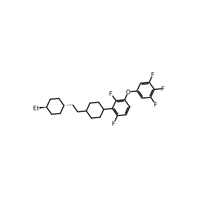 CC[C@H]1CC[C@H](CCC2CCC(c3c(F)c[c]c(Oc4cc(F)c(F)c(F)c4)c3F)CC2)CC1